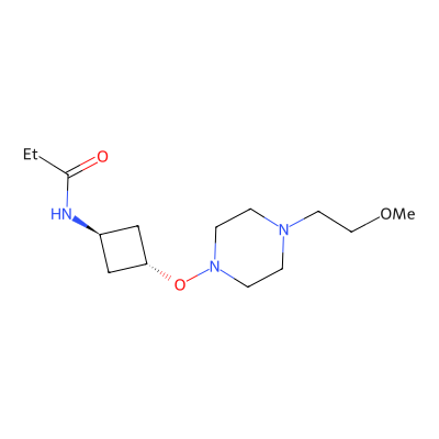 CCC(=O)N[C@H]1C[C@H](ON2CCN(CCOC)CC2)C1